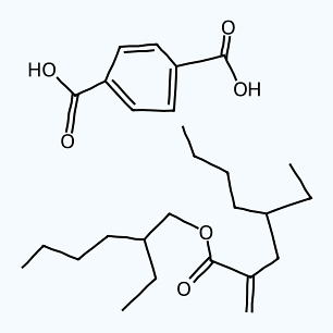 C=C(CC(CC)CCCC)C(=O)OCC(CC)CCCC.O=C(O)c1ccc(C(=O)O)cc1